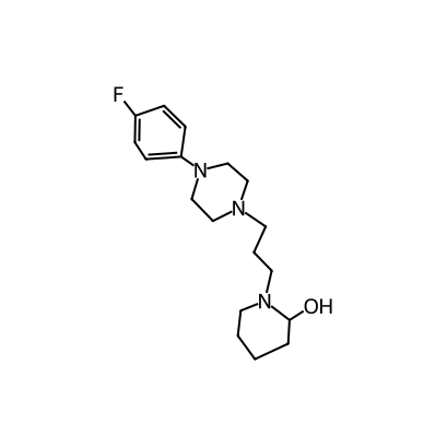 OC1CCCCN1CCCN1CCN(c2ccc(F)cc2)CC1